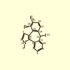 Cn1ccc2c1-c1ccccc1C(I)c1ccc(F)c(F)c1-2